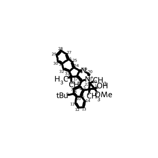 COC1(O)C2(C)c3c(cc(C(C)(C)C)c4ccccc34)-c3c4c(nc[n+]3C12C)-c1cc2ccccc2cc1C4(C)C